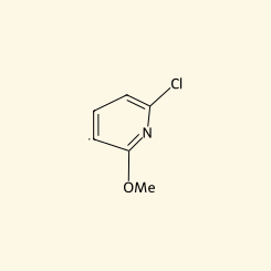 COc1[c]ccc(Cl)n1